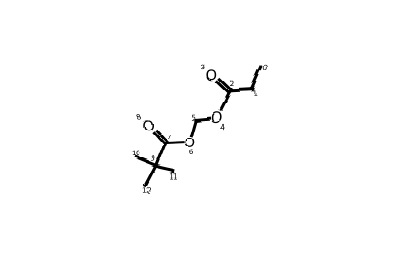 CCC(=O)OCOC(=O)C(C)(C)C